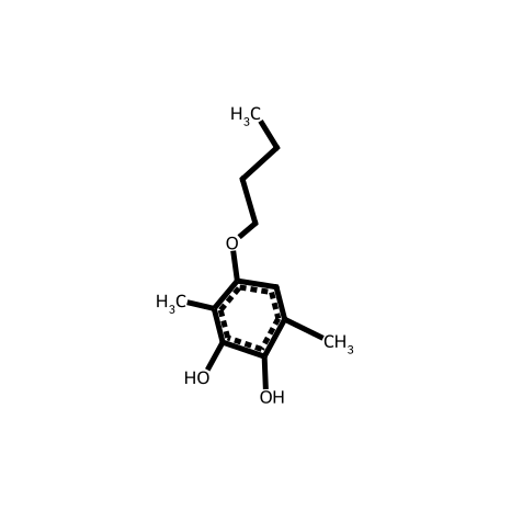 CCCCOc1cc(C)c(O)c(O)c1C